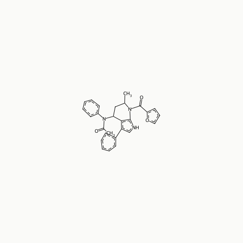 CC(=O)N(c1ccccc1)C1CC(C)N(C(=O)c2ccco2)c2[nH]cc(-c3ccccc3)c21